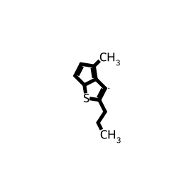 CCCC1=[C]C2=C(C)C=CC2S1